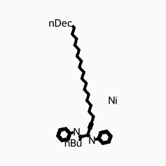 CCCCCCCCCCCCCCCCCCCCCCCCCCCC#CC(=N\c1ccccc1)/C(CCCC)=N/c1ccccc1.[Ni]